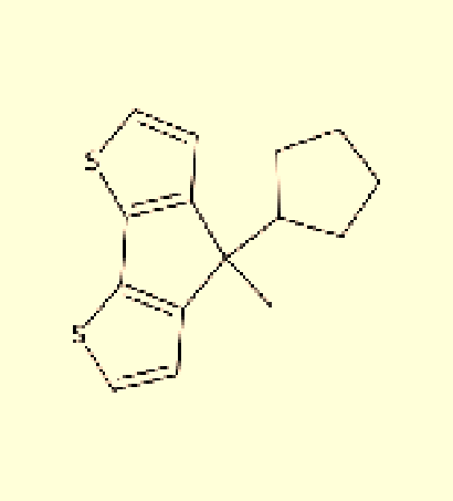 CC1(C2CCCC2)c2ccsc2-c2sccc21